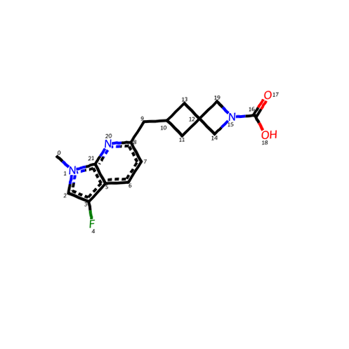 Cn1cc(F)c2ccc(CC3CC4(C3)CN(C(=O)O)C4)nc21